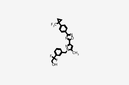 Cc1cc(-c2nc(-c3ccc(C4(C(F)(F)F)CC4)cc3)no2)nn1Cc1cccc(C(F)(F)CO)c1